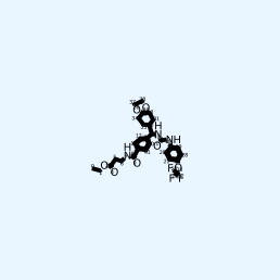 CCOC(=O)CCNC(=O)c1ccc(C(NC(=O)Nc2ccc(OC(F)(F)F)cc2)C2CCC3(CC2)OCCO3)cc1